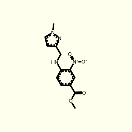 COC(=O)c1ccc(NCc2ccn(C)n2)c([N+](=O)[O-])c1